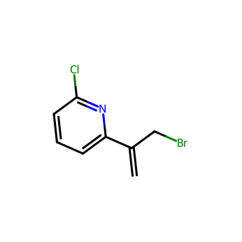 C=C(CBr)c1cccc(Cl)n1